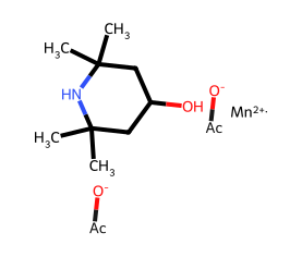 CC(=O)[O-].CC(=O)[O-].CC1(C)CC(O)CC(C)(C)N1.[Mn+2]